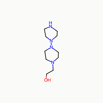 OCCN1CCN(N2CCNCC2)CC1